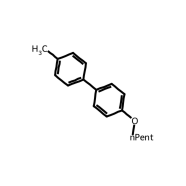 CCCCCOc1ccc(-c2ccc(C)cc2)cc1